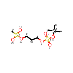 C[Si](C)(C)OS(=O)(=O)OCCCOS(C)(=O)=O